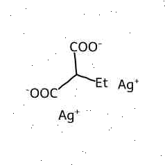 CCC(C(=O)[O-])C(=O)[O-].[Ag+].[Ag+]